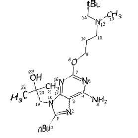 CCCCc1nc2c(N)nc(OCCCN(C)CC(C)(C)C)nc2n1CC(C)(C)O